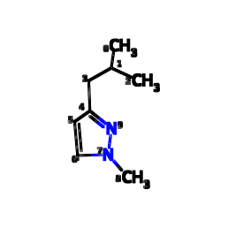 CC(C)Cc1c[c]n(C)n1